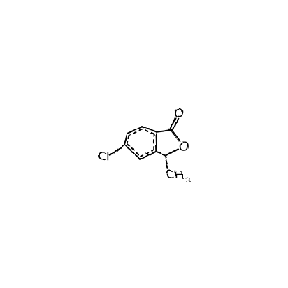 CC1OC(=O)c2ccc(Cl)cc21